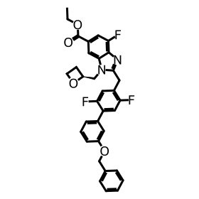 CCOC(=O)c1cc(F)c2nc(Cc3cc(F)c(-c4cccc(OCc5ccccc5)c4)cc3F)n(C[C@@H]3CCO3)c2c1